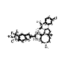 CCN(C(=O)[C@@H]1CC[C@@H]2CCN(C(C)=O)C[C@H](NC(=O)c3cc4cc(C(F)(F)P(=O)(O)O)ccc4s3)C(=O)N21)c1ccc(Cl)cc1